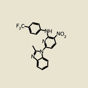 Cc1nc2ccccc2n1-c1ccc([N+](=O)[O-])c(Nc2ccc(C(F)(F)F)cc2)n1